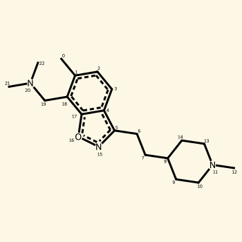 Cc1ccc2c(CCC3CCN(C)CC3)noc2c1CN(C)C